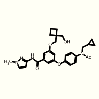 CC(=O)N(CC1CC1)c1ccc(Oc2cc(OCC3(CO)CCC3)cc(C(=O)Nc3ccn(C)n3)c2)cc1